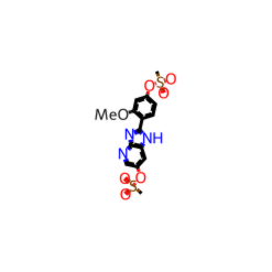 COc1cc(OS(C)(=O)=O)ccc1-c1nc2ncc(OS(C)(=O)=O)cc2[nH]1